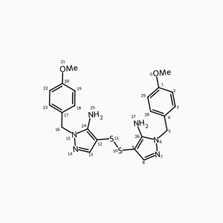 COc1ccc(Cn2ncc(SSc3cnn(Cc4ccc(OC)cc4)c3N)c2N)cc1